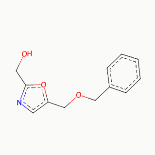 OCc1ncc(COCc2ccccc2)o1